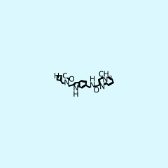 C=C1C=C(C(=O)NCc2ccc3cc(CN(CC4CCC4)C(C)=O)[nH]c3c2)N=C2C=CC=CN12